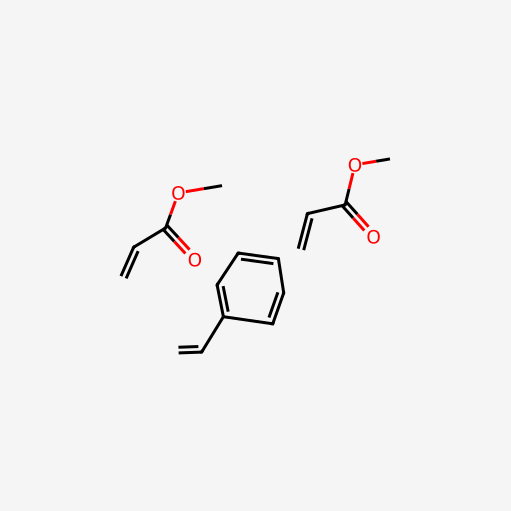 C=CC(=O)OC.C=CC(=O)OC.C=Cc1ccccc1